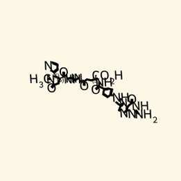 CN1C(=O)C[C@H](C(=O)NCCNC(=O)CC[C@H](NC(=O)c2ccc(NCc3cnc4nc(N)[nH]c(=O)c4n3)cc2)C(=O)O)[C@H]1c1cccnc1